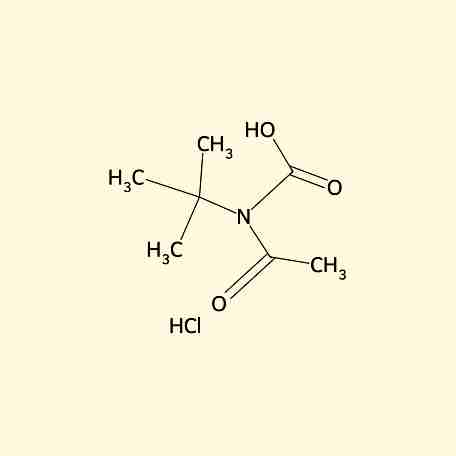 CC(=O)N(C(=O)O)C(C)(C)C.Cl